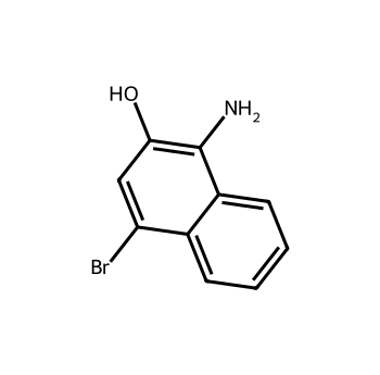 Nc1c(O)cc(Br)c2ccccc12